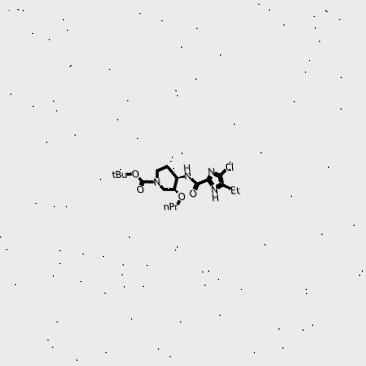 CCCO[C@H]1CN(C(=O)OC(C)(C)C)CC[C@H]1NC(=O)c1nc(Cl)c(CC)[nH]1